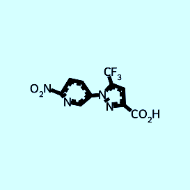 O=C(O)c1cc(C(F)(F)F)n(-c2ccc([N+](=O)[O-])nc2)n1